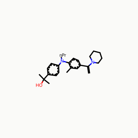 C=C(c1ccc(N(CCC)c2ccc(C(C)(C)O)cc2)c(C)c1)N1CCCCC1